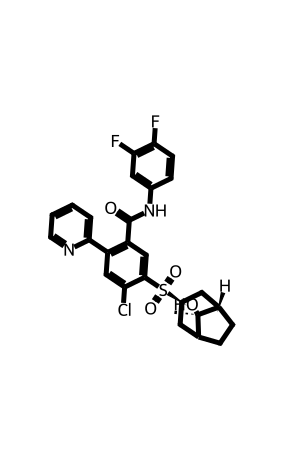 C[C@@]1(O)C2CC[C@H]1C[C@H](S(=O)(=O)c1cc(C(=O)Nc3ccc(F)c(F)c3)c(-c3ccccn3)cc1Cl)C2